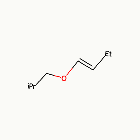 CC/C=C/OCC(C)C